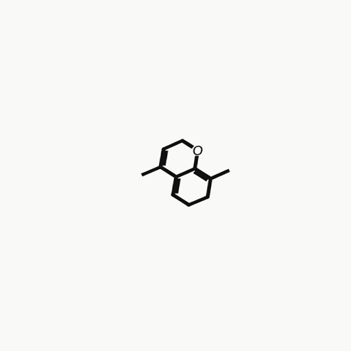 CC1=CCOC2=C(C)CCC=C12